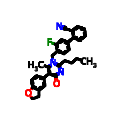 CCCCc1nc(=O)c(-c2ccc3c(c2)CCO3)c(C)n1Cc1ccc(-c2ccccc2C#N)cc1F